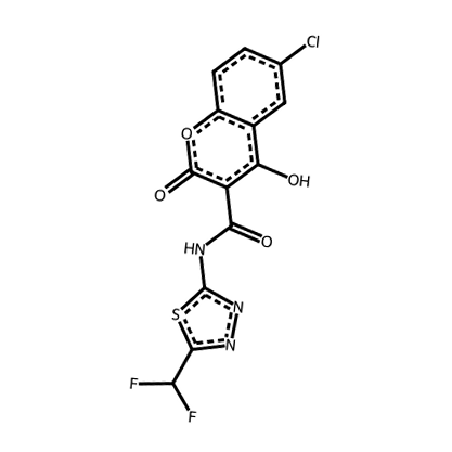 O=C(Nc1nnc(C(F)F)s1)c1c(O)c2cc(Cl)ccc2oc1=O